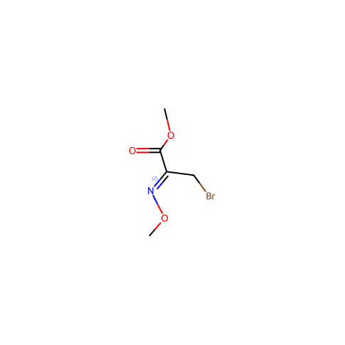 CO/N=C(\CBr)C(=O)OC